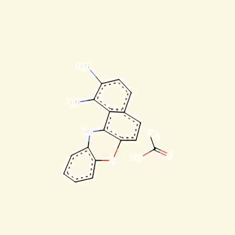 CC(=O)O.Nc1ccc2ccc3c(c2c1N)Nc1ccccc1O3